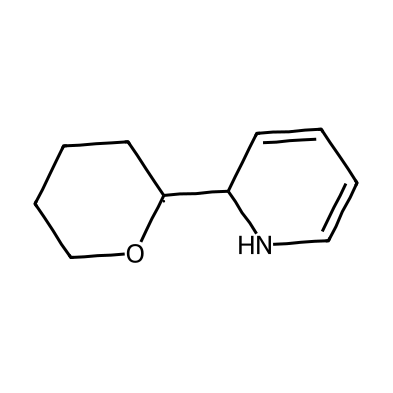 C1=CNC([C]2CCCCO2)C=C1